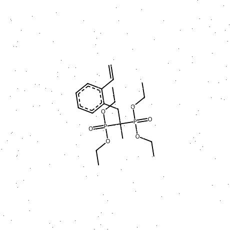 C=Cc1ccccc1CC(C)(P(=O)(OCC)OCC)P(=O)(OCC)OCC